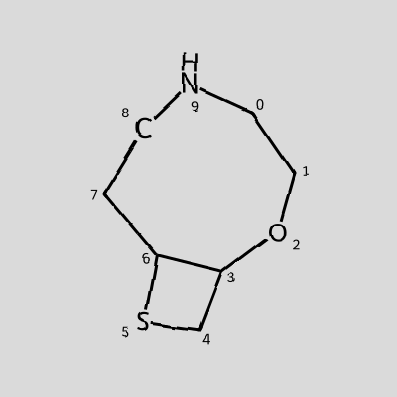 C1COC2CSC2CCN1